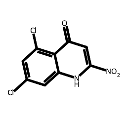 O=c1cc([N+](=O)[O-])[nH]c2cc(Cl)cc(Cl)c12